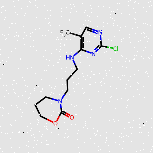 O=C1OCCCN1CCCNc1nc(Cl)ncc1C(F)(F)F